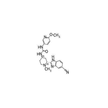 COc1ccc(NC(=O)N[C@@H]2CCN(C)[C@@H](c3nc4cc(C#N)ccc4[nH]3)C2)cn1